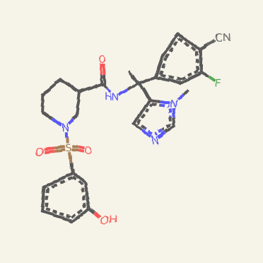 Cn1cncc1C(C)(NC(=O)C1CCCN(S(=O)(=O)c2cccc(O)c2)C1)c1ccc(C#N)c(F)c1